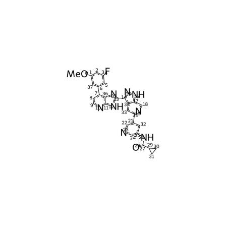 COc1cc(F)cc(-c2ccnc3[nH]c(-c4n[nH]c5cnc(-c6cncc(NC(=O)C7CC7)c6)cc45)nc23)c1